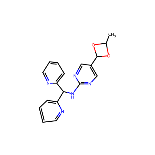 CC1OC(c2cnc(NC(c3ccccn3)c3ccccn3)nc2)O1